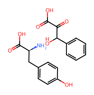 N[C@@H](Cc1ccc(O)cc1)C(=O)O.O=C(O)C(=O)C(O)c1ccccc1